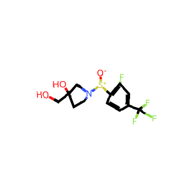 [O-][S+](c1ccc(C(F)(F)F)cc1F)N1CCC(O)(CO)C1